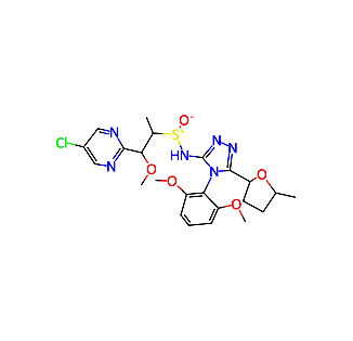 COc1cccc(OC)c1-n1c(N[S+]([O-])C(C)C(OC)c2ncc(Cl)cn2)nnc1C1CCC(C)O1